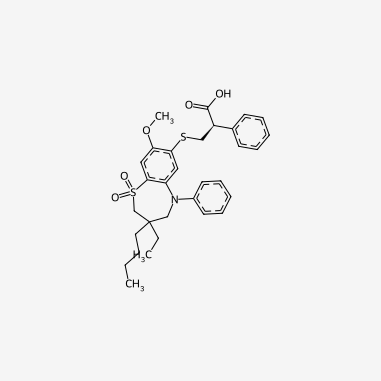 CCCCC1(CC)CN(c2ccccc2)c2cc(SC[C@@H](C(=O)O)c3ccccc3)c(OC)cc2S(=O)(=O)C1